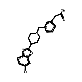 O=C(O)Cc1cccc(CN2CCC(c3nc4ccc(Cl)cc4s3)CC2)c1